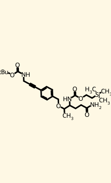 CC(OCc1ccc(C#CCNC(=O)OC(C)(C)C)cc1)C(CCC(N)=O)NC(=O)OCC[Si](C)(C)C